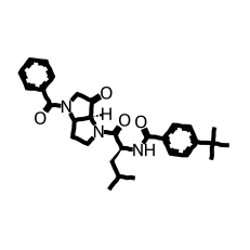 CC(C)C[C@H](NC(=O)c1ccc(C(C)(C)C)cc1)C(=O)N1CCC2[C@H]1C(=O)CN2C(=O)c1ccccc1